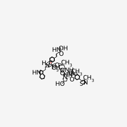 Cc1ncsc1-c1ccc([C@H](C)NC(=O)[C@@H]2C[C@@H](O)CN2C(=O)[C@@H](NC(=O)CC(C)(C)COCC(C)(C)CN(CCc2c[nH]c3ccccc23)Cc2ccc(/C=C/C(=O)NO)cc2)C(C)(C)C)cc1